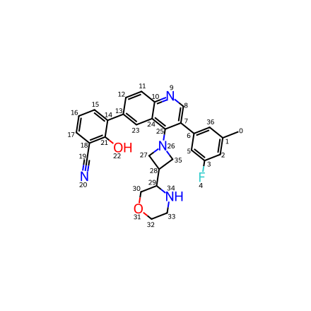 Cc1cc(F)cc(-c2cnc3ccc(-c4cccc(C#N)c4O)cc3c2N2CC(C3COCCN3)C2)c1